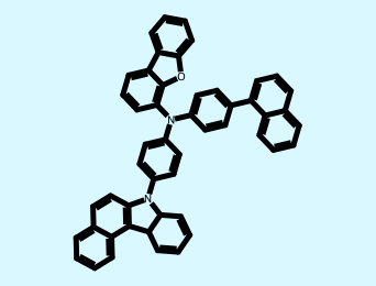 C1=CC2c3c(ccc4ccccc34)N(c3ccc(N(c4ccc(-c5cccc6ccccc56)cc4)c4cccc5c4oc4ccccc45)cc3)C2C=C1